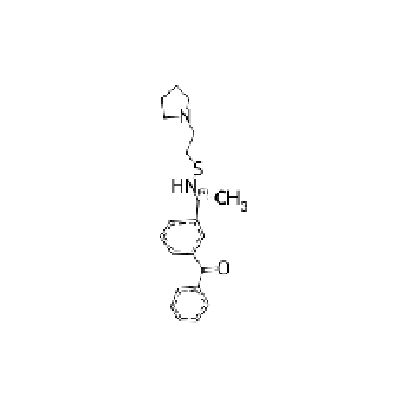 C[C@@H](NSCCN1CCCC1)c1cccc(C(=O)c2ccccc2)c1